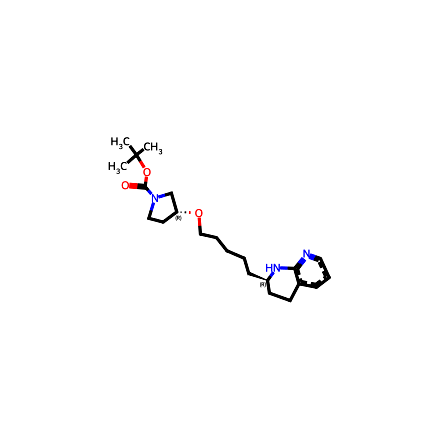 CC(C)(C)OC(=O)N1CC[C@@H](OCCCCC[C@@H]2CCc3cccnc3N2)C1